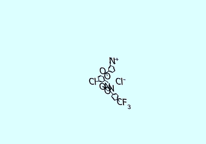 C[N+](C)(C)Cc1cccc(C(=O)Oc2ccc(Cl)cc2Cn2nc(-c3ccc(C(F)(F)F)cc3)oc2=O)c1.[Cl-]